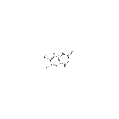 O=C1CNc2cc(Br)c(Br)nc2O1